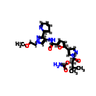 COCCn1cc(NC(=O)c2ccc(-c3cnn(C(=O)[C@@H](OC(N)=O)C(C)C)c3)o2)c(-c2ccccn2)n1